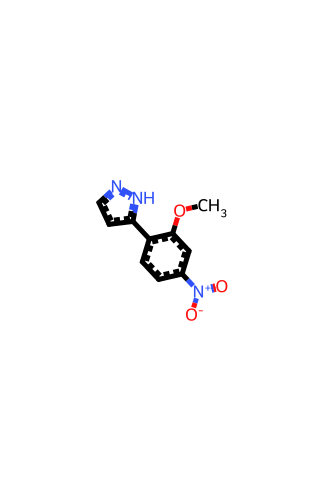 COc1cc([N+](=O)[O-])ccc1-c1ccn[nH]1